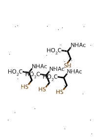 CC(=O)NC(CS)C(=O)O.CC(=O)NC(CS)C(=O)O.CC(=O)NC(CS)C(=O)O.CC(=O)NC(CS)C(=O)O